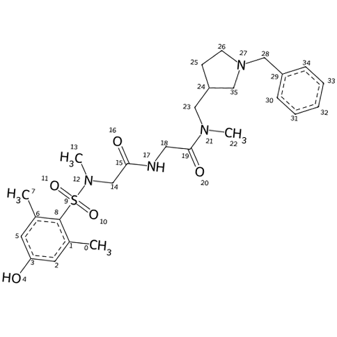 Cc1cc(O)cc(C)c1S(=O)(=O)N(C)CC(=O)NCC(=O)N(C)CC1CCN(Cc2ccccc2)C1